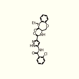 CCN1C(=O)[C@H](NC(=O)c2cc(NC(=O)c3ccccc3Cl)[nH]n2)COc2ccccc21